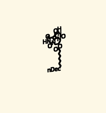 CCCCCCCCCCCCCCCCCC(=O)OC1CN2C(=O)NC(=O)C3(C)C2C2N(C1)C(=O)NC(=O)C23C